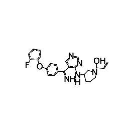 C=CC(O)N1CCCC(Nc2ncncc2C(=N)c2ccc(Oc3ccccc3F)cc2)C1